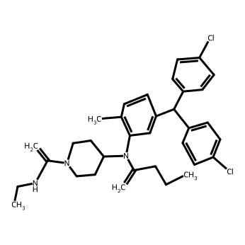 C=C(NCC)N1CCC(N(C(=C)CCC)c2cc(C(c3ccc(Cl)cc3)c3ccc(Cl)cc3)ccc2C)CC1